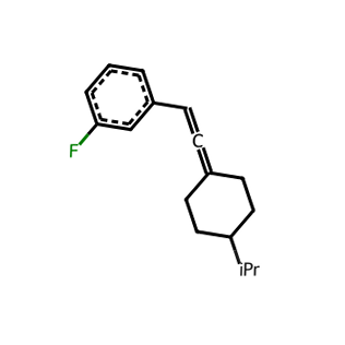 CC(C)C1CCC(=C=Cc2cccc(F)c2)CC1